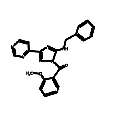 COc1ccccc1C(=O)n1nc(-c2ccncn2)nc1NCc1ccccc1